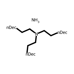 CCCCCCCCCCCCN(CCCCCCCCCCCC)CCCCCCCCCCCC.N